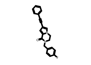 O=C1c2cc(C#Cc3ccccc3)cn2CCN1Cc1ccc(F)cc1